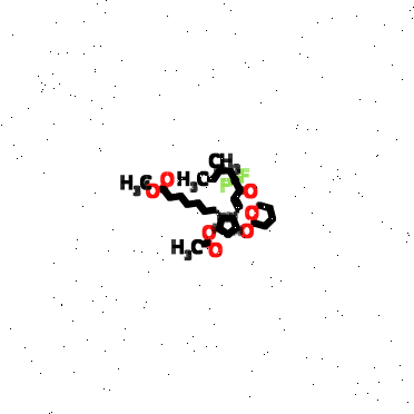 CC[C@H](C)CC(F)(F)C(=O)C=C[C@H]1[C@@H](CCCCCCC(=O)OC)[C@H](OC(C)=O)C[C@H]1OC1CCCCO1